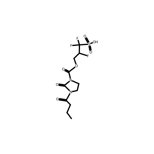 CCCC(=O)N1CCN(C(=O)OCC(F)C(F)(F)S(=O)(=O)O)C1=O